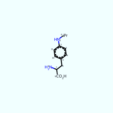 CC(C)Nc1ccc(CC(N)C(=O)O)cc1